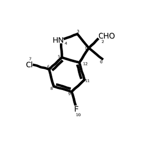 CC1(C=O)CNc2c(Cl)cc(F)cc21